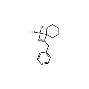 C[Si](C)(O)C1([SiH2]Cc2ccccc2)CCCCO1